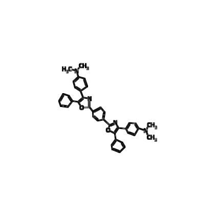 CN(C)c1ccc(-c2nc(-c3ccc(-c4nc(-c5ccc(N(C)C)cc5)c(-c5ccccc5)o4)cc3)oc2-c2ccccc2)cc1